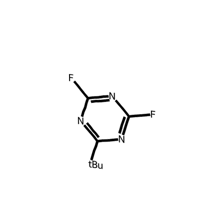 CC(C)(C)c1nc(F)nc(F)n1